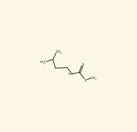 CSC(=S)NCCC(C)C